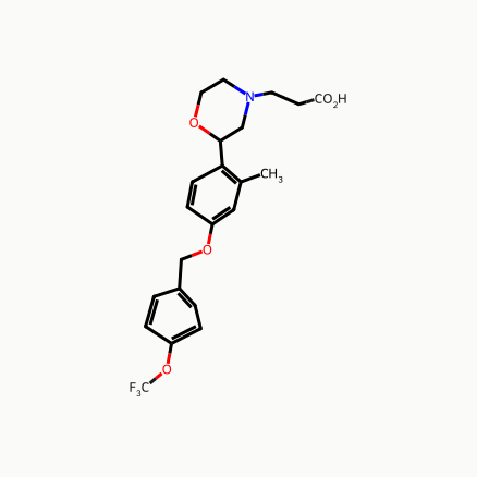 Cc1cc(OCc2ccc(OC(F)(F)F)cc2)ccc1C1CN(CCC(=O)O)CCO1